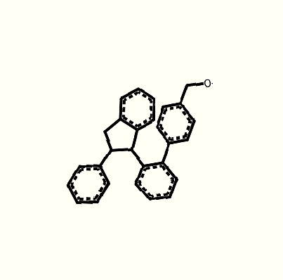 [O]Cc1ccc(-c2ccccc2C2c3ccccc3CC2c2ccccc2)cc1